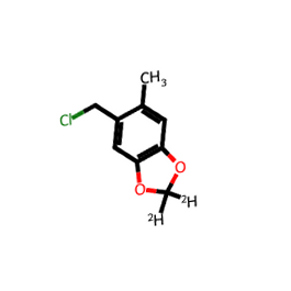 [2H]C1([2H])Oc2cc(C)c(CCl)cc2O1